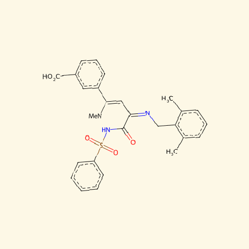 CN/C(=C\C(=N\Cc1c(C)cccc1C)C(=O)NS(=O)(=O)c1ccccc1)c1cccc(C(=O)O)c1